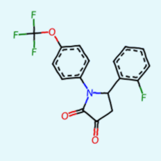 O=C1CC(c2ccccc2F)N(c2ccc(OC(F)(F)F)cc2)C1=O